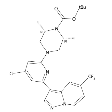 C[C@@H]1CN(c2cc(Cl)cc(-c3cnn4ccc(C(F)(F)F)cc34)n2)C[C@H](C)N1C(=O)OC(C)(C)C